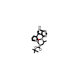 CC1CN(C(=O)OC(C)(C)C)CCN1c1ncnc2[nH]cc(-c3cccnc3)c12